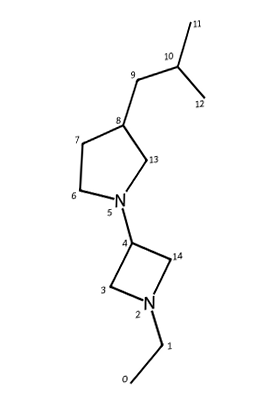 CCN1CC(N2CCC(CC(C)C)C2)C1